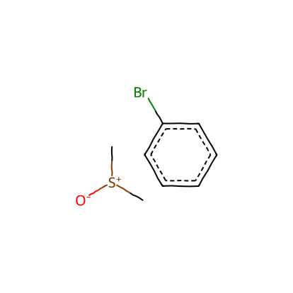 Brc1ccccc1.C[S+](C)[O-]